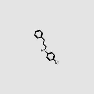 Brc1ccc(NCCCc2ccccc2)cc1